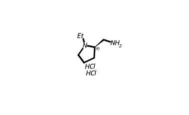 CCN1CCC[C@@H]1CN.Cl.Cl